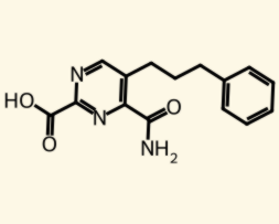 NC(=O)c1nc(C(=O)O)ncc1CCCc1ccccc1